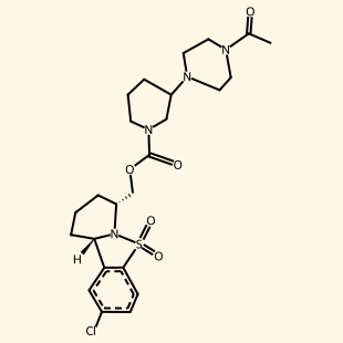 CC(=O)N1CCN(C2CCCN(C(=O)OC[C@H]3CCC[C@H]4c5cc(Cl)ccc5S(=O)(=O)N34)C2)CC1